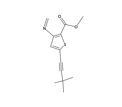 C=Nc1cc(C#CC(C)(C)C)sc1C(=O)OC